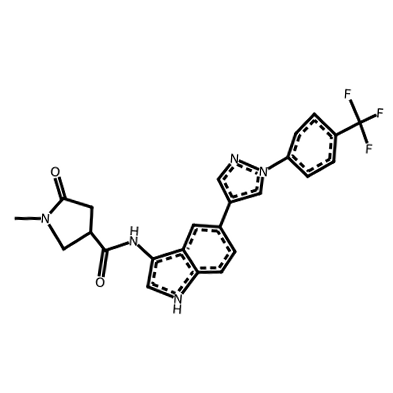 CN1CC(C(=O)Nc2c[nH]c3ccc(-c4cnn(-c5ccc(C(F)(F)F)cc5)c4)cc23)CC1=O